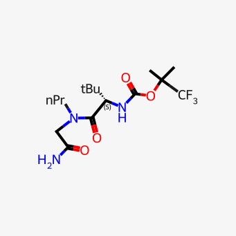 CCCN(CC(N)=O)C(=O)[C@@H](NC(=O)OC(C)(C)C(F)(F)F)C(C)(C)C